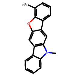 CCCc1cccc2c1oc1cc3c4ccccc4n(C)c3cc12